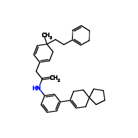 C=C(CC1=CCC(C)(CCC2=CCCC=C2)C=C1)Nc1cccc(C2=CCC3(CCCC3)CC2)c1